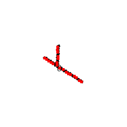 CCCCCCCCCCCCCCCCCCCCCC(=O)OCC(CCCCCCCCCCCC)CCCCCCCCCCCCCCCC